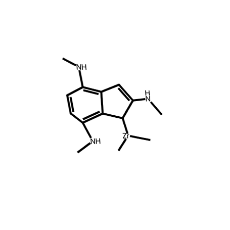 CNC1=Cc2c(NC)ccc(NC)c2[CH]1[Zr]([CH3])[CH3]